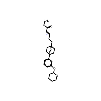 COC(=O)/C=C/CCC12CCC(c3cccc(OC4CCCCO4)c3)(CC1)OC2